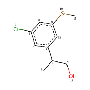 [CH2]C(CO)c1cc(Cl)cc(SC)c1